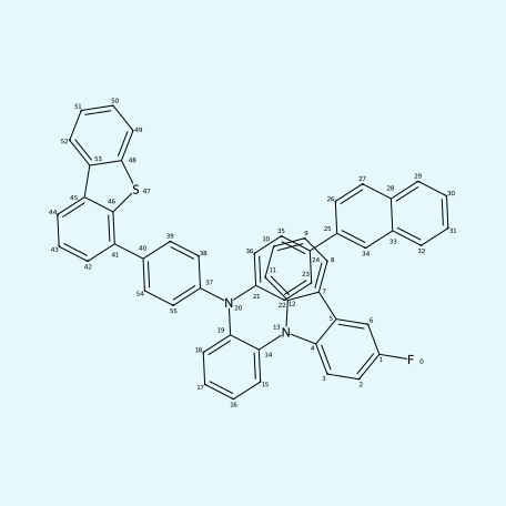 Fc1ccc2c(c1)c1ccccc1n2-c1ccccc1N(c1ccc(-c2ccc3ccccc3c2)cc1)c1ccc(-c2cccc3c2sc2ccccc23)cc1